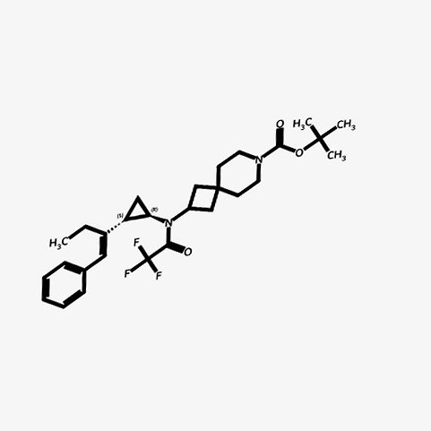 CCC(=Cc1ccccc1)[C@@H]1C[C@H]1N(C(=O)C(F)(F)F)C1CC2(CCN(C(=O)OC(C)(C)C)CC2)C1